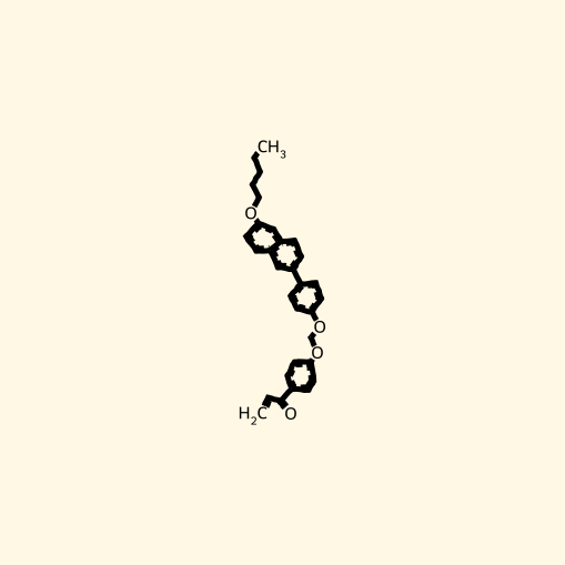 C=CC(=O)c1ccc(OCOc2ccc(-c3ccc4cc(OCCCCC)ccc4c3)cc2)cc1